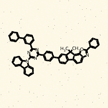 CC1(C)c2cc(-c3ccc(-c4nc(-c5cccc(-c6ccccc6)c5)nc(-n5c6ccccc6c6ccccc65)n4)cc3)ccc2-c2ccc3nc(-c4ccccc4)oc3c21